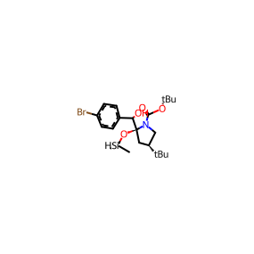 C[SiH](C)O[C@]1(C(O)c2ccc(Br)cc2)C[C@H](C(C)(C)C)CN1C(=O)OC(C)(C)C